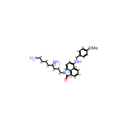 COc1ccc(CNc2ccc3c4c(cccc24)C(=O)N3CCCC(N)CCCCN)cc1